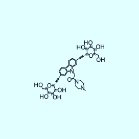 CN1CCN(C(=O)Cn2c3cc(C#C[C@H]4O[C@H](CO)[C@@H](O)[C@H](O)[C@@H]4O)ccc3c3ccc(C#C[C@H]4O[C@H](CO)[C@@H](O)[C@H](O)[C@@H]4O)cc32)CC1